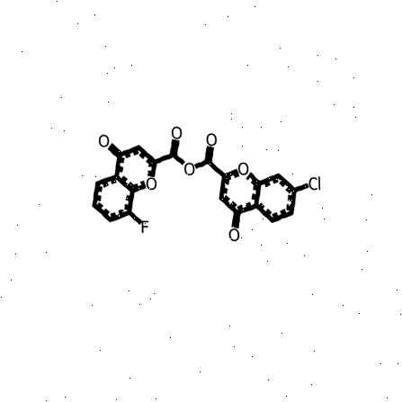 O=C(OC(=O)c1cc(=O)c2cccc(F)c2o1)c1cc(=O)c2ccc(Cl)cc2o1